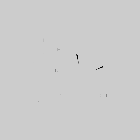 CC[C@H](CN(CC(=O)O)CC(=O)O)[C@H]1CCC1(C)C